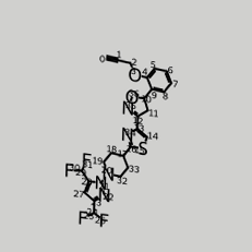 C#CCOc1ccccc1C1CC(c2csc(C3CCN(n4nc(C(F)F)cc4C(F)F)CC3)n2)=NO1